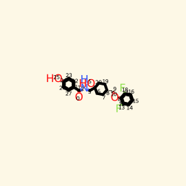 O=C(NC[C@]1(O)CC[C@@H](COc2c(F)cccc2F)CC1)c1ccc(O)cc1